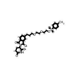 Cc1ccc(S(=O)(=O)OCCOCCOCCCc2ccc3c(c2)C(=O)N(C2CCC(=O)NC2=O)C3=O)cc1